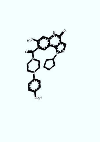 Cc1cc2[nH]c(=O)c3cnn(C4CCCC4)c3c2cc1C(=O)N1CCN(c2ccc(C(=O)O)cc2)CC1